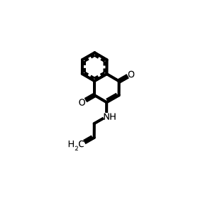 C=CCNC1=CC(=O)c2ccccc2C1=O